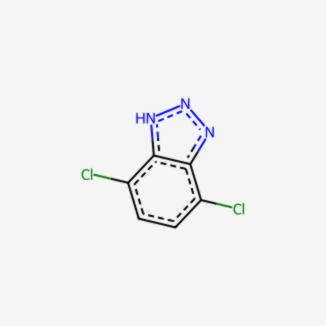 Clc1ccc(Cl)c2[nH]nnc12